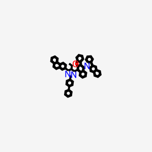 CCC1C(c2c3ccccc3c(-n3c4ccccc4c4cc5ccccc5cc43)c3c2oc2ccccc23)=NC(c2ccc(-c3ccccc3)cc2)=NC1c1ccc2c(ccc3ccccc32)c1